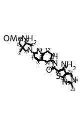 COCC1(C)CN(c2ccc3c(n2)CCC(NC(=O)c2sc4nc(C)ncc4c2N)C3)CC1N